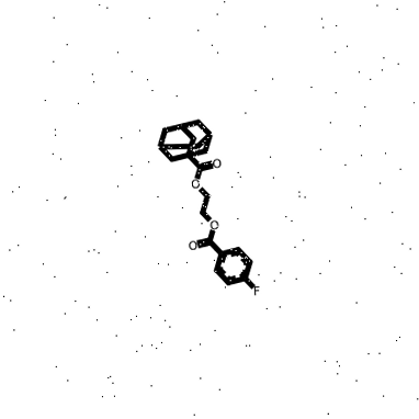 O=C(OCCOC(=O)C12CC3CC(CC(C3)C1)C2)c1ccc(F)cc1